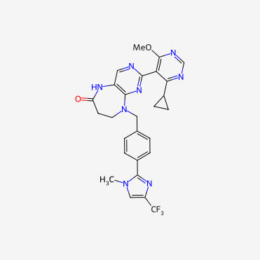 COc1ncnc(C2CC2)c1-c1ncc2c(n1)N(Cc1ccc(-c3nc(C(F)(F)F)cn3C)cc1)CCC(=O)N2